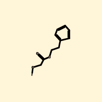 O=C(COI)OCCc1ccccc1